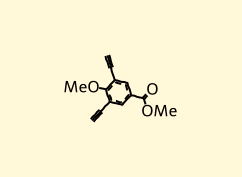 C#Cc1cc(C(=O)OC)cc(C#C)c1OC